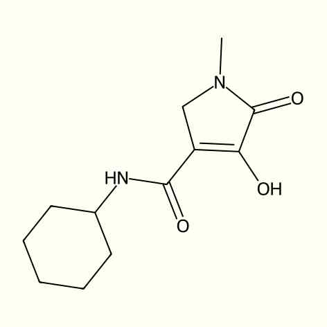 CN1CC(C(=O)NC2CCCCC2)=C(O)C1=O